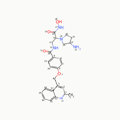 Cc1cc(COc2ccc(C(=O)NCC(C(=O)NO)N3CCC(N)C3)cc2)c2ccccc2n1